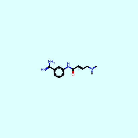 CN(C)C/C=C/C(=O)Nc1cccc(C(=N)N)c1